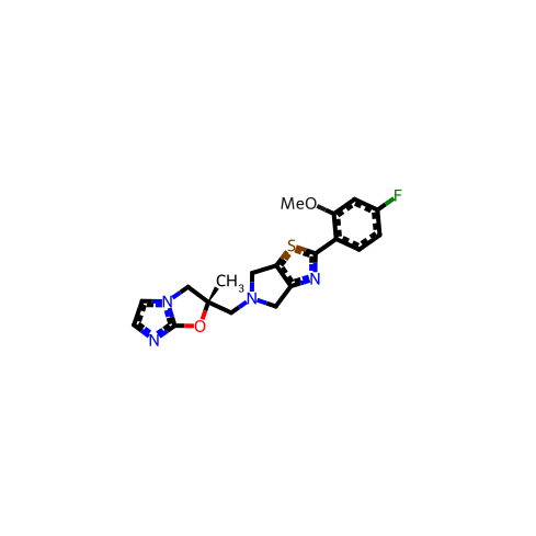 COc1cc(F)ccc1-c1nc2c(s1)CN(C[C@@]1(C)Cn3ccnc3O1)C2